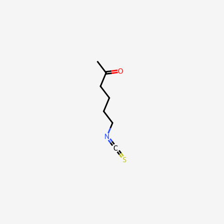 CC(=O)CCCCN=C=S